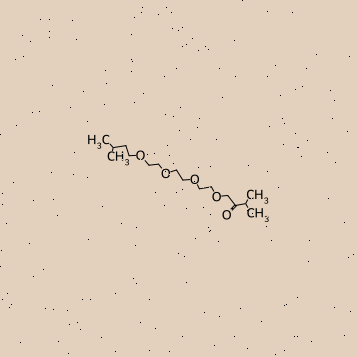 CC(C)CCOCCOCCOCCOCC(=O)C(C)C